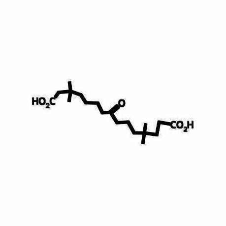 CC(C)(CCCC(=O)CCCCC(C)(C)CC(=O)O)CCC(=O)O